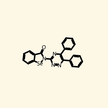 O=c1c2ccccc2[se]n1-c1nnc(-c2ccccc2)c(-c2ccccc2)n1